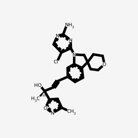 Cc1cc([C@](C)(O)C#Cc2ccc3c(c2)N(c2nc(N)ncc2Cl)CC32CCOCC2)on1